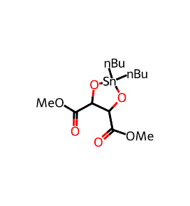 CCC[CH2][Sn]1([CH2]CCC)[O]C(C(=O)OC)C(C(=O)OC)[O]1